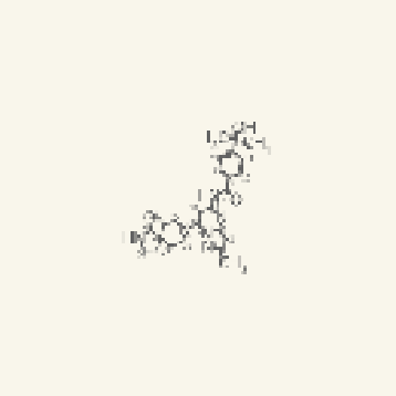 Cc1cc2nc(NC(=O)c3ccc(C(C)(C)O)cc3)cc(N3CCC4(CCNC4=O)CC3)n2n1